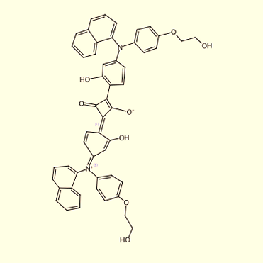 O=C1C(c2ccc(N(c3ccc(OCCO)cc3)c3cccc4ccccc34)cc2O)=C([O-])/C1=C1C=C/C(=[N+](/c2ccc(OCCO)cc2)c2cccc3ccccc23)C=C/1O